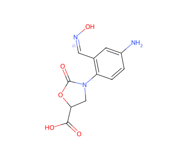 Nc1ccc(N2CC(C(=O)O)OC2=O)c(/C=N\O)c1